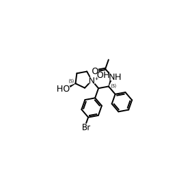 CC(=O)N[C@@H](c1ccccc1)C(c1ccc(Br)cc1)[N+]1(O)CC[C@H](O)C1